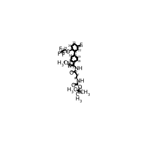 Cn1nc(NC(=O)CCNC(=O)OC(C)(C)C)c2ccc(-c3cc(F)ccc3OCC(F)(F)F)cc21